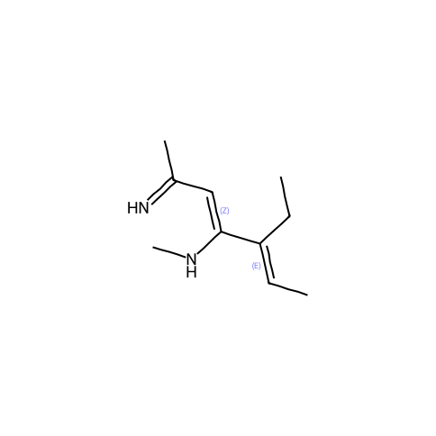 C/C=C(CC)/C(=C/C(C)=N)NC